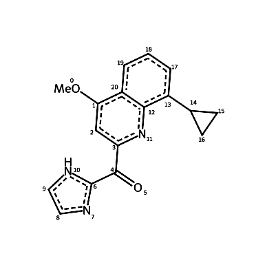 COc1cc(C(=O)c2ncc[nH]2)nc2c(C3CC3)cccc12